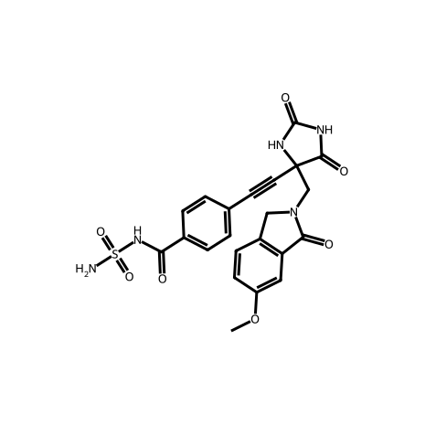 COc1ccc2c(c1)C(=O)N(CC1(C#Cc3ccc(C(=O)NS(N)(=O)=O)cc3)NC(=O)NC1=O)C2